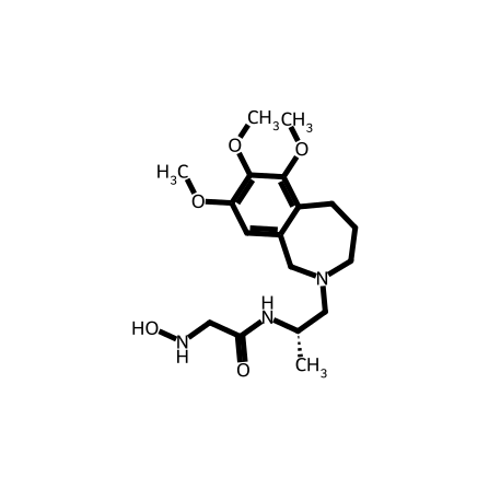 COc1cc2c(c(OC)c1OC)CCCN(C[C@H](C)NC(=O)CNO)C2